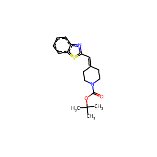 CC(C)(C)OC(=O)N1CCC(=Cc2nc3ccccc3s2)CC1